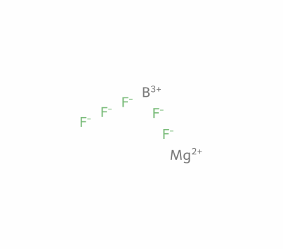 [B+3].[F-].[F-].[F-].[F-].[F-].[Mg+2]